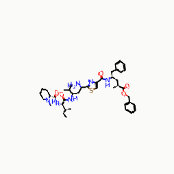 CC[C@H](C)[C@H](NC(=O)[C@H]1CCCCN1C)C(=O)N[C@H](C[C@@H](N)c1nc(C(=O)N[C@@H](Cc2ccccc2)C[C@H](C)C(=O)OCc2ccccc2)cs1)C(C)C